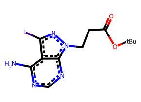 CC(C)(C)OC(=O)CCn1nc(I)c2c(N)ncnc21